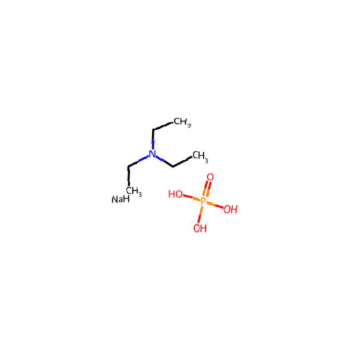 CCN(CC)CC.O=P(O)(O)O.[NaH]